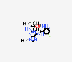 CC(Nc1nc(NCc2cc(F)ccc2N)c2ncn(C)c2n1)C(C)(C)O